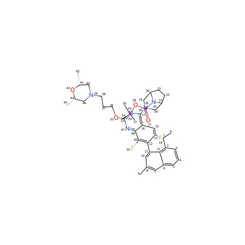 CCc1cccc2cc(C)cc(-c3c(F)cc4c(N5CC6CCC(C5)N6C(=O)OC(C)(C)C)nc(OCCCN5C[C@@H](C)O[C@@H](C)C5)nc4c3F)c12